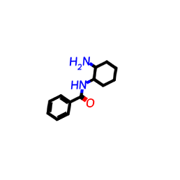 NC1CCCCC1NC(=O)c1ccccc1